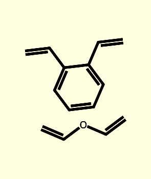 C=COC=C.C=Cc1ccccc1C=C